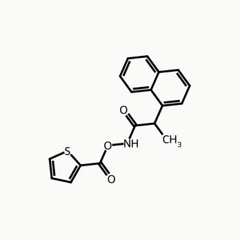 CC(C(=O)NOC(=O)c1cccs1)c1cccc2ccccc12